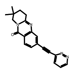 CC1(C)CCc2nc3cc(C#Cc4cccnn4)ccc3c(=O)n2C1